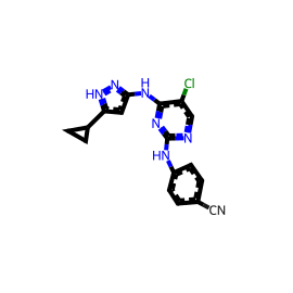 N#Cc1ccc(Nc2ncc(Cl)c(Nc3cc(C4CC4)[nH]n3)n2)cc1